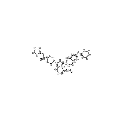 Nc1ncnn2c(C3CCN(C(=O)CN4CCCC4)CC3)cc(-c3ccc4cn(Cc5ccccc5)nc4c3)c12